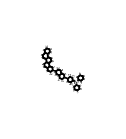 c1ccc(N(c2ccccc2)c2ccc(-c3ccc4cc(-c5ccc6ccc7c(ccc8c9ccccc9ccc87)c6c5)ccc4c3)cc2)cc1